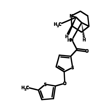 Cc1ccc(Oc2ccc(C(=O)N[C@@H]3C4CCN(CC4)[C@H]3C)s2)s1